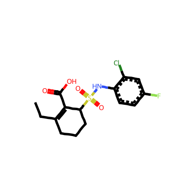 CCC1=C(C(=O)O)C(S(=O)(=O)Nc2ccc(F)cc2Cl)CCC1